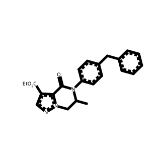 CCOC(=O)c1cnn2c1C(=O)N(c1ccc(Cc3ccccc3)cc1)C(C)C2